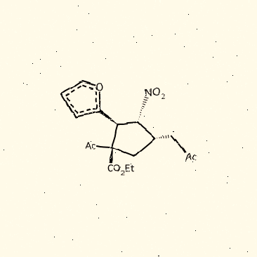 CCOC(=O)[C@]1(C(C)=O)C[C@@H](CC(C)=O)[C@@H]([N+](=O)[O-])[C@@H]1c1ccco1